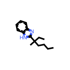 CCCCC(C)(CC)c1nc2ccccc2[nH]1